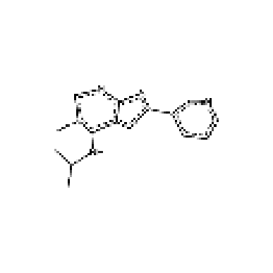 Cc1cnc2sc(-c3cccnc3)cc2c1NC(C)C